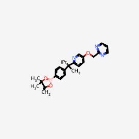 C=C1OB(c2ccc(C(C)(c3ccc(OCc4ncccn4)cn3)C(C)C)cc2)OC1(C)C